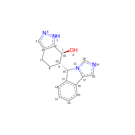 O[C@@H]1c2[nH]ncc2CC[C@H]1C1c2ccccc2-c2cncn21